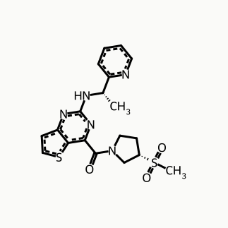 C[C@H](Nc1nc(C(=O)N2CC[C@H](S(C)(=O)=O)C2)c2sccc2n1)c1ccccn1